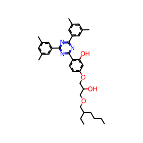 CCCCC(CC)COCC(O)COc1ccc(-c2nc(-c3cc(C)cc(C)c3)nc(-c3cc(C)cc(C)c3)n2)c(O)c1